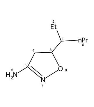 CCCC(CC)C1CC(N)=NO1